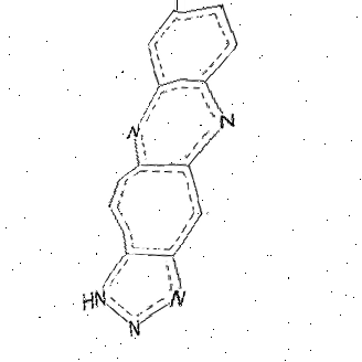 [c]1c2nc3ccccc3nc2cc2[nH]nnc12